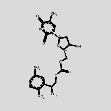 Cc1cn([C@H]2CC(O)[C@@H](COC(=O)OCC(C)c3cc([N+](=O)[O-])ccc3[N+](=O)[O-])O2)c(=O)[nH]c1=O